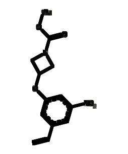 C=Cc1cc(OC2CN(C(=O)OC(C)(C)C)C2)cc([N+](=O)[O-])c1